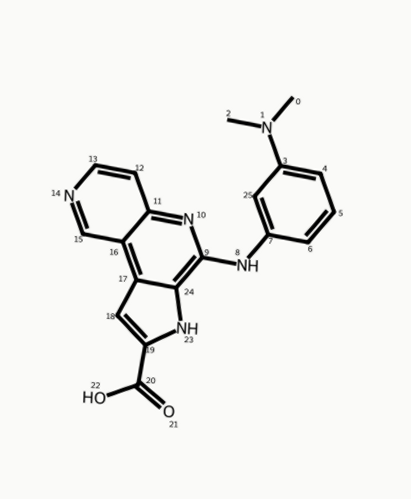 CN(C)c1cccc(Nc2nc3ccncc3c3cc(C(=O)O)[nH]c23)c1